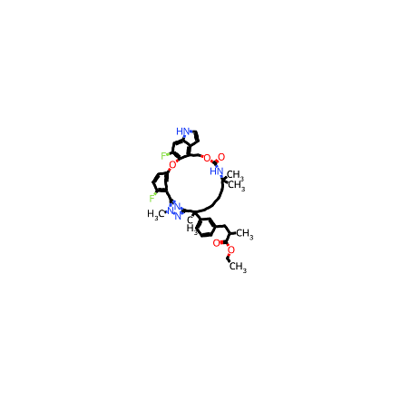 CCOC(=O)C(C)Cc1cccc(C2(C)CCCCC(C)(C)NC(=O)OCc3c(c(F)cc4[nH]ccc34)Oc3ccc(F)c(c3)-c3nc2nn3C)c1